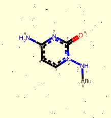 CCCCNn1ccc(N)nc1=O